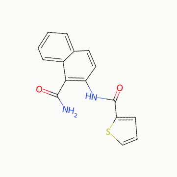 NC(=O)c1c(NC(=O)c2cccs2)ccc2ccccc12